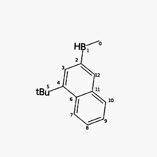 CBc1cc(C(C)(C)C)c2ccccc2c1